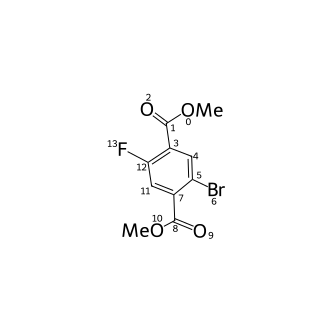 COC(=O)c1cc(Br)c(C(=O)OC)cc1F